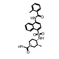 CCCC(=O)N1CC[C@H](NS(=O)(=O)c2ccc(NC(=O)c3ccccc3C)c3ccccc23)[C@@H](C)C1